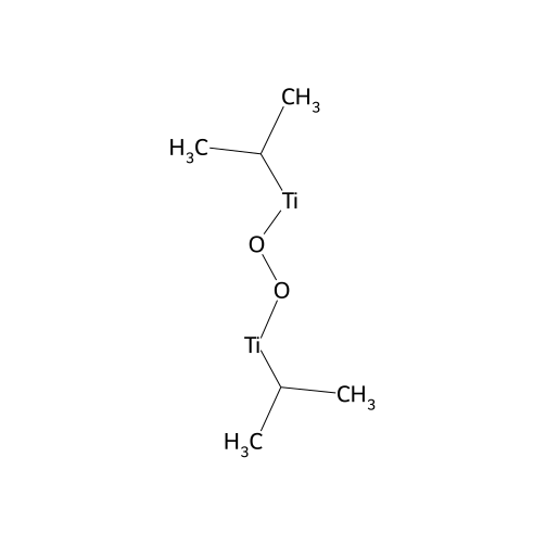 C[CH](C)[Ti][O][O][Ti][CH](C)C